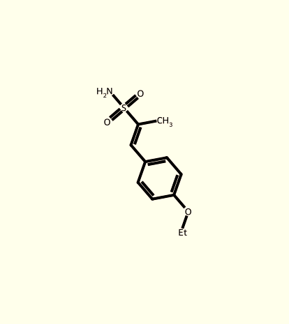 CCOc1ccc(/C=C(\C)S(N)(=O)=O)cc1